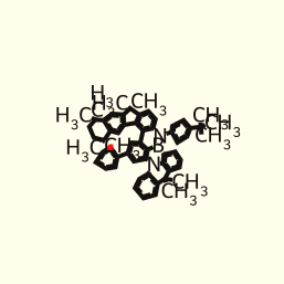 CC(C)(C)c1ccc(N2B3c4cccc5c4N(c4ccccc4C5(C)C)c4cc(-c5ccccc5)cc(c43)-c3c2ccc2c3-c3cc4c(cc3C2(C)C)C(C)(C)CCC4(C)C)cc1